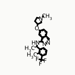 Cc1c([C@@H](C)Nc2nncc3ccc(OC4CCN(C)C4)cc23)cccc1C(F)(F)F